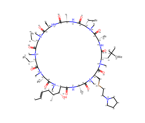 C/C=C/C[C@@H](C)[C@@H](O)[C@H]1C(=O)N[C@@H](CC)C(=O)N(C)[C@H](CSCCN2CCCC2)C(=O)N(C)[C@@H](CC(C)(C)OC)C(=O)N[C@@H](C(C)C)C(=O)N(C)[C@@H](CC(C)C)C(=O)N[C@@H](C)C(=O)N[C@H](C)C(=O)N(C)[C@@H](CC(C)C)C(=O)N(C)[C@@H](CC(C)C)C(=O)N(C)[C@@H](C(C)C)C(=O)N1C